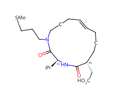 CSCCCN1CCC/C=C/CCC[C@H](CC(=O)O)C(=O)N[C@@H](C(C)C)C1=O